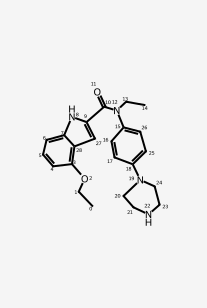 CCOc1cccc2[nH]c(C(=O)N(CC)c3ccc(N4CCNCC4)cc3)cc12